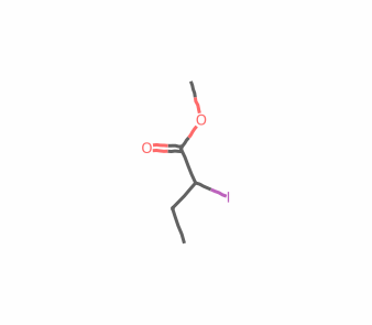 CCC(I)C(=O)OC